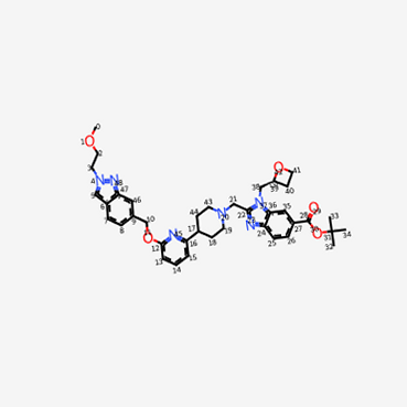 COCCn1cc2ccc(COc3cccc(C4CCN(Cc5nc6ccc(C(=O)OC(C)(C)C)cc6n5C[C@@H]5CCO5)CC4)n3)cc2n1